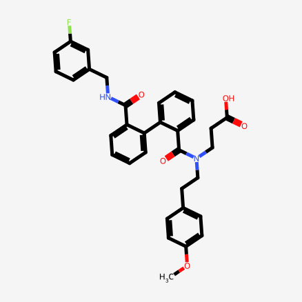 COc1ccc(CCN(CCC(=O)O)C(=O)c2ccccc2-c2ccccc2C(=O)NCc2cccc(F)c2)cc1